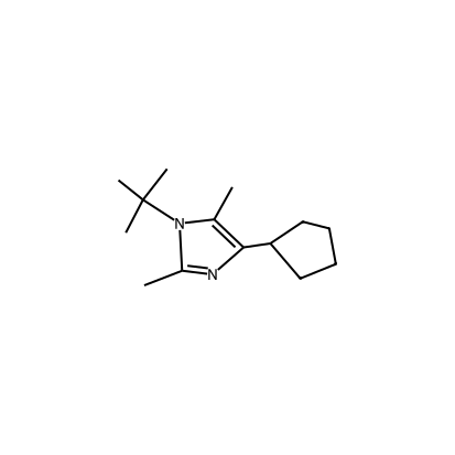 Cc1nc(C2CCCC2)c(C)n1C(C)(C)C